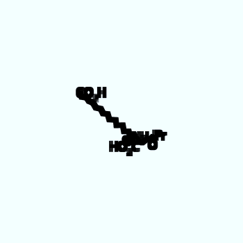 CC(C)C(=O)CC[C@H](NC(=O)CCCCCCCCCCCCCCC(=O)O)C(=O)O